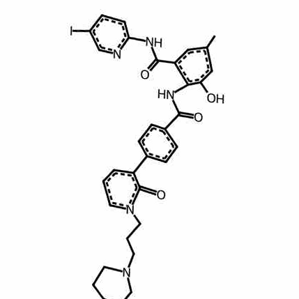 Cc1cc(O)c(NC(=O)c2ccc(-c3cccn(CCCN4CCCCC4)c3=O)cc2)c(C(=O)Nc2ccc(I)cn2)c1